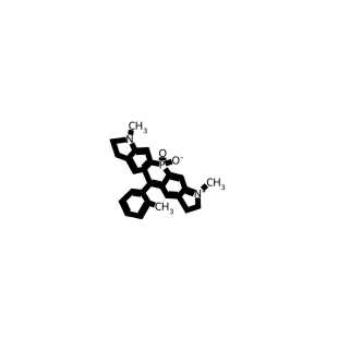 Cc1ccccc1C1=c2cc3c(cc2P(=O)([O-])c2cc4c(cc21)CCN4C)=[N+](C)CC3